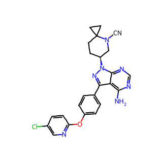 N#CN1C[C@@H](n2nc(-c3ccc(Oc4ccc(Cl)cn4)cc3)c3c(N)ncnc32)CCC12CC2